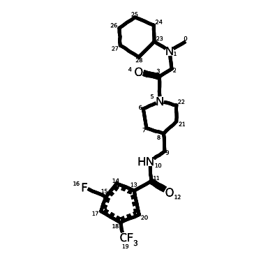 CN(CC(=O)N1CCC(CNC(=O)c2cc(F)cc(C(F)(F)F)c2)CC1)C1CCCCC1